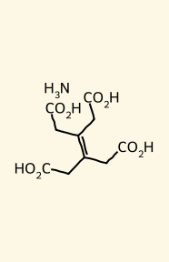 N.O=C(O)CC(CC(=O)O)=C(CC(=O)O)CC(=O)O